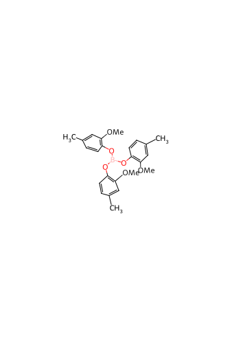 COc1cc(C)ccc1OB(Oc1ccc(C)cc1OC)Oc1ccc(C)cc1OC